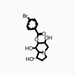 O=C(OC1C(O)CN2CC[C@H](O)C2C1O)c1ccc(Br)cc1